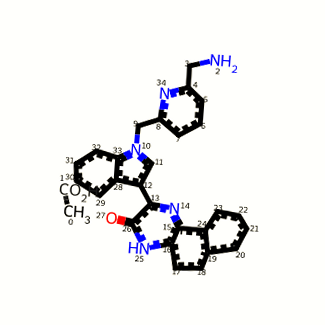 CC(=O)O.NCc1cccc(Cn2cc(-c3nc4c(ccc5ccccc54)[nH]c3=O)c3ccccc32)n1